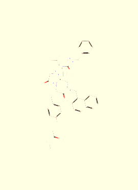 COC(=O)COc1ccc(C[C@H]2C(=O)N(Cc3cccc4ccccc34)C[C@H]3N2C(=O)CN3N(C(=O)NCc2ccccc2)C(C)C)cc1